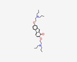 CCCN(CCC)CCOC1=CC=C2C(=Cc3cc(OCCN(CCC)CCC)ccc32)C1=O